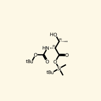 C[C@@H](O)[C@@H](NC(=O)OC(C)(C)C)C(=O)O[Si](C)(C)C(C)(C)C